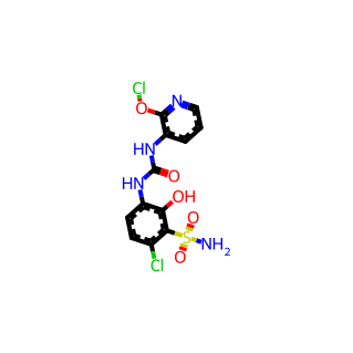 NS(=O)(=O)c1c(Cl)ccc(NC(=O)Nc2cccnc2OCl)c1O